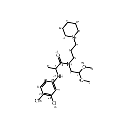 COC(CN(CCCN1CCCCC1)C(=O)C(C)Nc1ccc(Cl)c(Cl)c1)OC